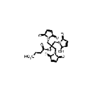 O=C(O)CCC(=O)NC(CN1C(=O)C=CC1=O)(CN1C(=O)C=CC1=O)CN1C(=O)C=CC1O